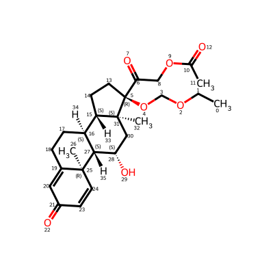 CCOCO[C@]1(C(=O)COC(C)=O)CC[C@H]2[C@@H]3CCC4=CC(=O)C=C[C@]4(C)[C@H]3[C@@H](O)C[C@@]21C